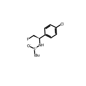 CC(C)(C)[S+]([O-])N[C@@H](CF)c1ccc(Cl)cc1